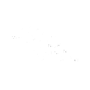 COC(=O)C1(c2ccc(C(=O)N(C(=O)Nc3ccc(Cl)cn3)c3ccccc3)cc2)CC1